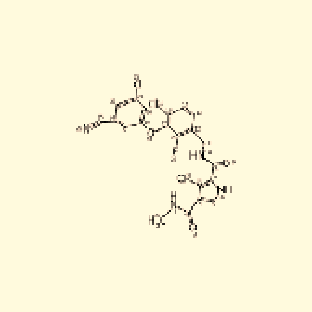 CNC(=O)c1c[nH]c(C(=O)NCc2ccc(Cl)c(Oc3cc(Cl)cc(C#N)c3)c2F)c1Cl